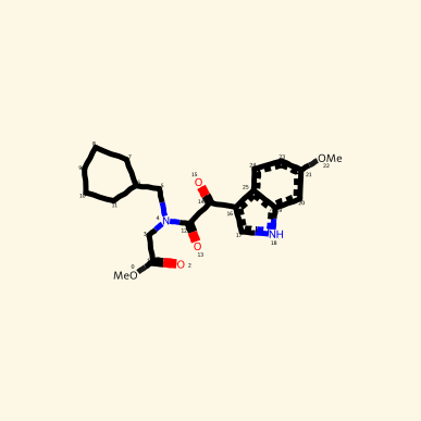 COC(=O)CN(CC1CCCCC1)C(=O)C(=O)c1c[nH]c2cc(OC)ccc12